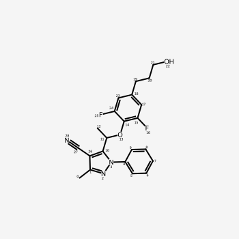 Cc1nn(-c2ccccc2)c(C(C)Oc2c(F)cc(CCCO)cc2F)c1C#N